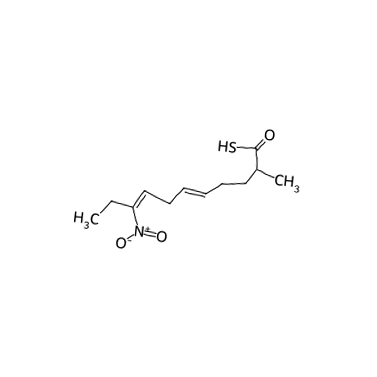 CC/C(=C/C/C=C/CCC(C)C(=O)S)[N+](=O)[O-]